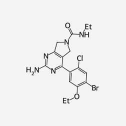 CCNC(=O)N1Cc2nc(N)nc(-c3cc(OCC)c(Br)cc3Cl)c2C1